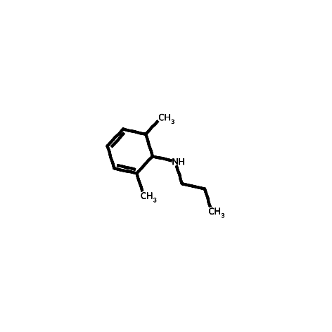 CCCNC1C(C)=CC=CC1C